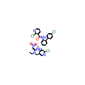 CCN(Cc1ccc(Cl)nc1)/C(=C/[N+](=O)[O-])NC.O=C(Nc1ccccc1-c1ccc(Cl)cc1)c1cccnc1Cl